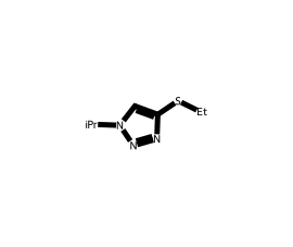 CCSc1cn(C(C)C)nn1